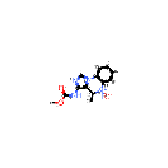 COC(=O)Nc1ncn2c1C(C)[NH+]([O-])c1ccccc1-2